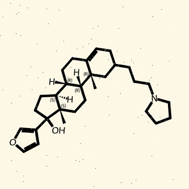 C[C@]12CC(CCCN3CCCC3)CC=C1CC[C@@H]1[C@H]2CC[C@@]2(C)[C@H]1CCC2(O)c1ccoc1